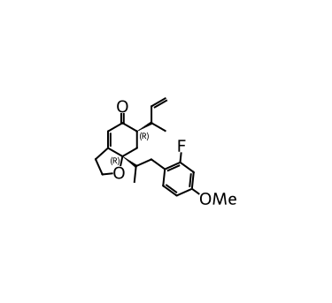 C=CC(C)[C@H]1C[C@]2(C(C)Cc3ccc(OC)cc3F)OCCC2=CC1=O